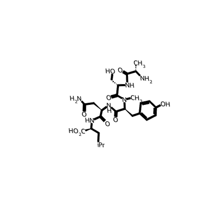 CC(C)C[C@H](NC(=O)[C@@H](CC(N)=O)NC(=O)[C@H](Cc1ccc(O)cc1)N(C)C(=O)[C@H](CO)NC(=O)[C@H](C)N)C(=O)O